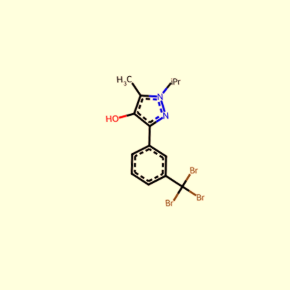 Cc1c(O)c(-c2cccc(C(Br)(Br)Br)c2)nn1C(C)C